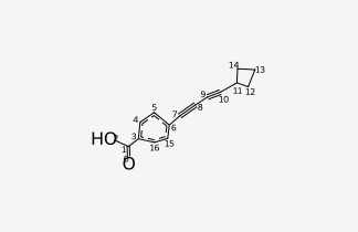 O=C(O)c1ccc(C#CC#CC2CCC2)cc1